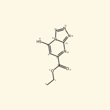 CCOC(=O)c1cc(S)n2cnnc2n1